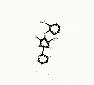 COc1ccccc1Oc1c(N)nc(-c2ncccn2)nc1OC